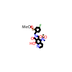 COOSc1cc(F)ccc1CN1Cc2c(c(O)c3ncccc3c2N(C)S(C)(=O)=O)C1=O